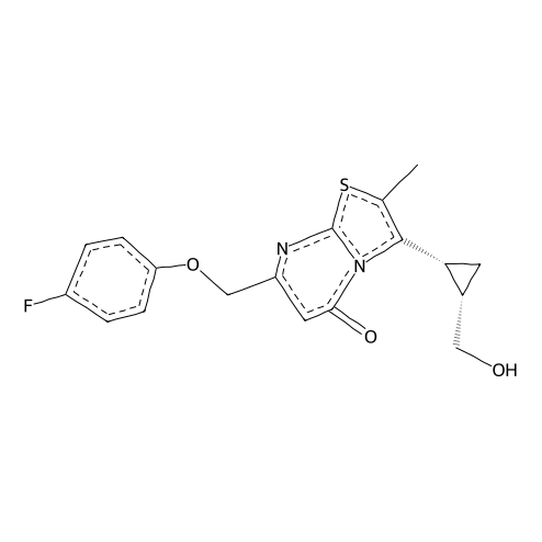 Cc1sc2nc(COc3ccc(F)cc3)cc(=O)n2c1[C@@H]1C[C@@H]1CO